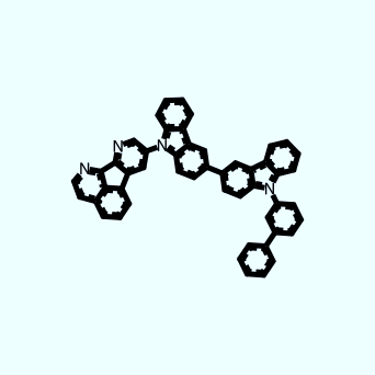 c1ccc(-c2cccc(-n3c4ccccc4c4cc(-c5ccc6c(c5)c5ccccc5n6-c5cnc6c(c5)-c5cccc7ccnc-6c57)ccc43)c2)cc1